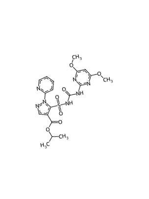 COc1cc(OC)nc(NC(=O)NS(=O)(=O)c2c(C(=O)OC(C)C)cnn2-c2ccccn2)n1